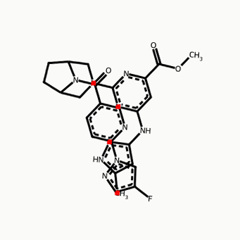 COC(=O)c1cc(Nc2cc(C)[nH]n2)nc(N2CC3CCC(C2)N3C(=O)c2ccc(-n3cc(F)cn3)nc2)n1